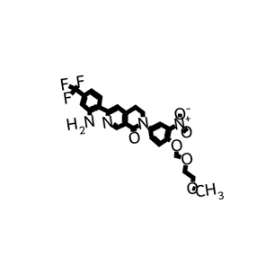 COCCOCOc1ccc(N2CCc3cc(-c4ccc(C(F)(F)F)cc4N)ncc3C2=O)cc1[N+](=O)[O-]